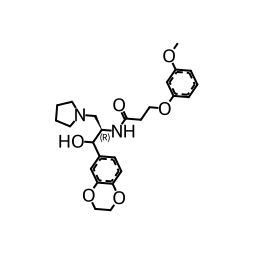 COc1cccc(OCCC(=O)N[C@H](CN2CCCC2)C(O)c2ccc3c(c2)OCCO3)c1